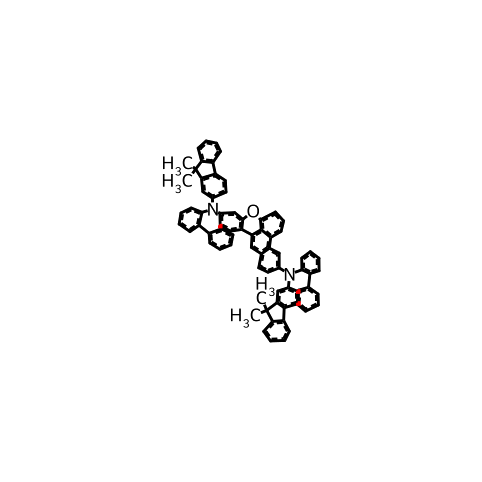 CC1(C)c2ccccc2-c2ccc(N(c3ccc4c(c3)Oc3cccc5c3c-4cc3ccc(N(c4ccc6c(c4)C(C)(C)c4ccccc4-6)c4ccccc4-c4ccccc4)cc35)c3ccccc3-c3ccccc3)cc21